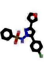 O=S(=O)(Nn1nc(-c2ccoc2)cc1-c1ccc(Cl)cc1)c1ccccc1